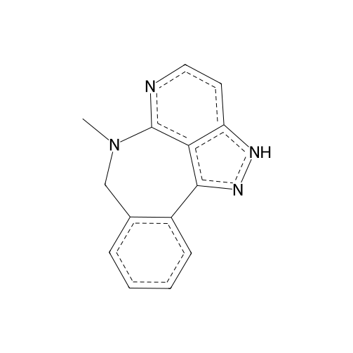 CN1Cc2ccccc2-c2n[nH]c3ccnc1c23